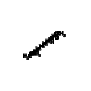 CO[SiH2]CCCCCCCCCCCNCC(=O)OC